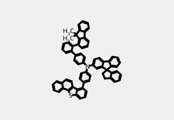 CC1(C)c2ccccc2-c2cccc(-c3ccccc3-c3ccc(N(c4ccc(-c5cccc6sc7c8ccccc8ccc7c56)cc4)c4ccc5c(c4)C4(CCc6ccccc64)c4ccccc4-5)cc3)c21